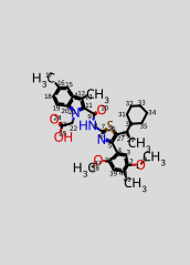 COc1cc(-c2nc(NC(=O)c3c(C)c4cc(C)ccc4n3CC(=O)O)sc2C(C)C2CCCCC2)c(OC)cc1C